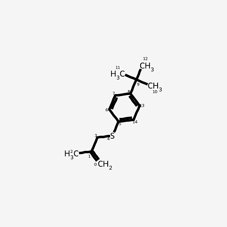 C=C(C)CSc1ccc(C(C)(C)C)cc1